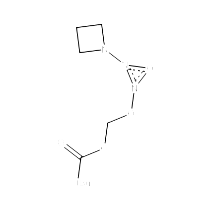 CC(C)(C)C(=O)OCOn1on1N1CCC1